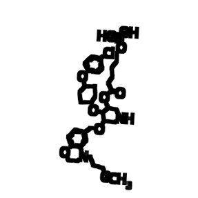 COCCCN1CCOc2ccc(COC3CNCC(OC(=O)CCCCCON(O)O)C3OC3CCC(Oc4ccc(Cl)cc4)CC3)cc21